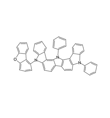 c1ccc(-n2c3ccccc3c3c2ccc2c4ccc5c(c6ccccc6n5-c5cccc6oc7ccccc7c56)c4n(-c4ccccc4)c23)cc1